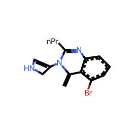 C=C1c2c(Br)cccc2N=C(CCC)N1C1=CNC1